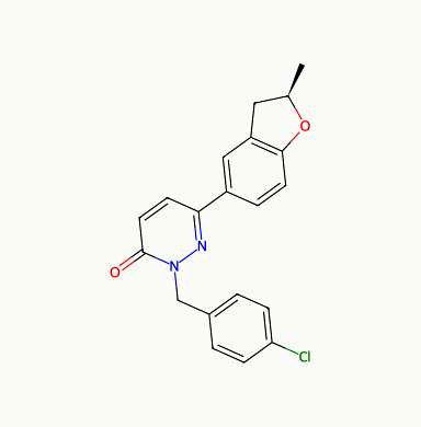 C[C@@H]1Cc2cc(-c3ccc(=O)n(Cc4ccc(Cl)cc4)n3)ccc2O1